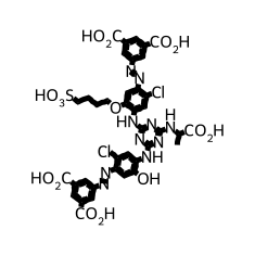 CC(Nc1nc(Nc2cc(Cl)c(N=Nc3cc(C(=O)O)cc(C(=O)O)c3)cc2O)nc(Nc2cc(Cl)c(N=Nc3cc(C(=O)O)cc(C(=O)O)c3)cc2OCCCCS(=O)(=O)O)n1)C(=O)O